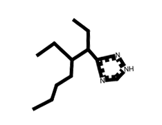 CCCCC(CC)C(CC)c1nc[nH]n1